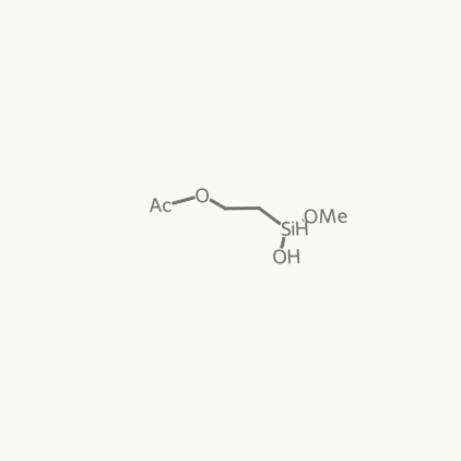 CO[SiH](O)CCOC(C)=O